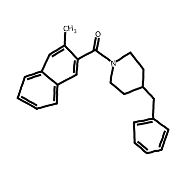 Cc1cc2ccccc2cc1C(=O)N1CCC(Cc2ccccc2)CC1